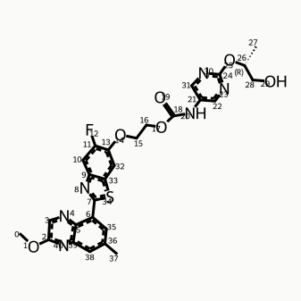 COc1cnc2c(-c3nc4cc(F)c(OCCOC(=O)Nc5cnc(O[C@H](C)CO)nc5)cc4s3)cc(C)cc2n1